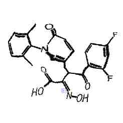 Cc1cccc(C)c1-n1cc(C(C(=O)c2ccc(F)cc2F)/C(=N\O)C(=O)O)ccc1=O